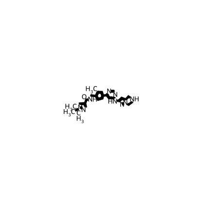 Cc1cc(-c2cc(Nc3cc4n(n3)CCNC4)ncn2)ccc1CNC(=O)c1cnn(C(C)(C)C)c1